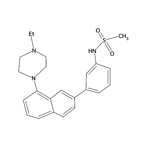 CCN1CCN(c2cccc3ccc(-c4cccc(NS(C)(=O)=O)c4)cc23)CC1